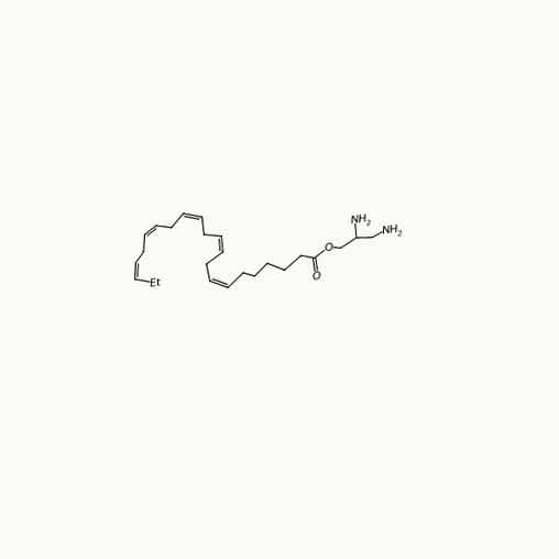 CC/C=C\C/C=C\C/C=C\C/C=C\C/C=C\CCCCCC(=O)OCC(N)CN